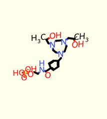 C[C@H](O)CN1CCN(Cc2ccc(C(=O)NCCOP(=O)(O)O)cc2)CCN(C[C@H](C)O)CC1